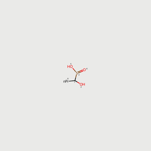 CCCC(O)S(=O)O